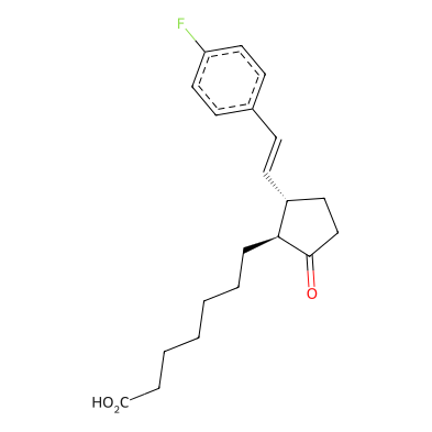 O=C(O)CCCCCC[C@@H]1C(=O)CC[C@H]1C=Cc1ccc(F)cc1